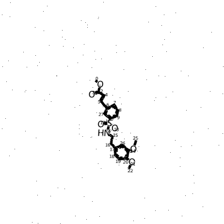 COC(=O)C=Cc1cccc(S(=O)(=O)NCCc2ccc(OC)c(OC)c2)c1